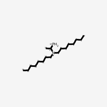 CCCCCCCCN(CCCCCCCC)C(C)P